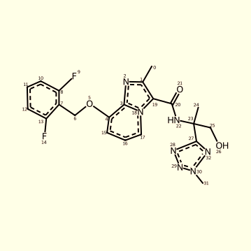 Cc1nc2c(OCc3c(F)cccc3F)cccn2c1C(=O)NC(C)(CO)c1nnn(C)n1